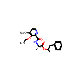 COc1ccnc(C(=O)N[C@@H](C)C(=O)OC(C)Cc2ccccc2)c1OCOC(C)=O